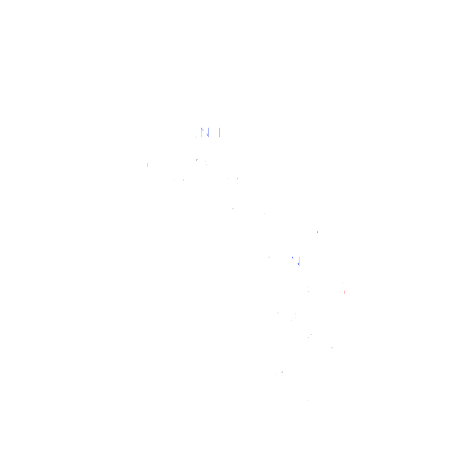 COc1ccccc1NC(=O)OCC1CCN(C(=O)OC2CCCC2)C1